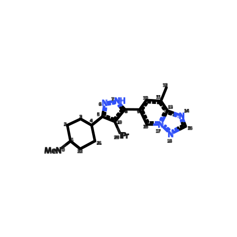 CNC1CCC(c2n[nH]c(-c3cc(C)c4ncnn4c3)c2C(C)C)CC1